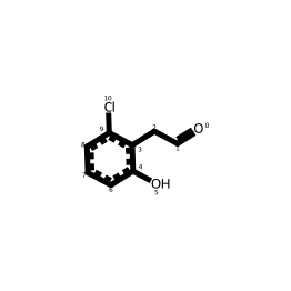 O=CCc1c(O)cccc1Cl